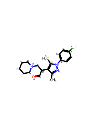 Cc1nn(-c2ccc(Cl)cc2)c(C)c1C(C=O)CN1CCCCC1